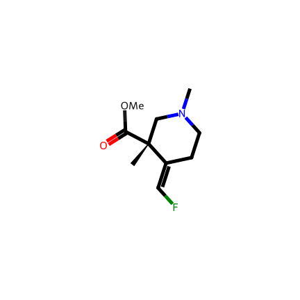 COC(=O)[C@]1(C)CN(C)CC/C1=C\F